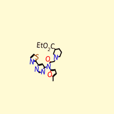 CCOC(=O)C1CCCN(CC(=O)N(c2cc(-c3nccs3)ncn2)c2ccc(C)o2)C1